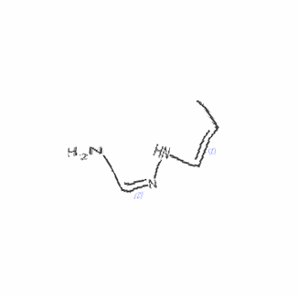 C/C=C\N/N=C\N